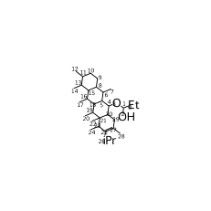 CCC(O)OC1C2C(C)C3CCC(C)C(C)C3C(C)C2C(C)C2(C)C(C)C(C(C)C)=C(C)CC12